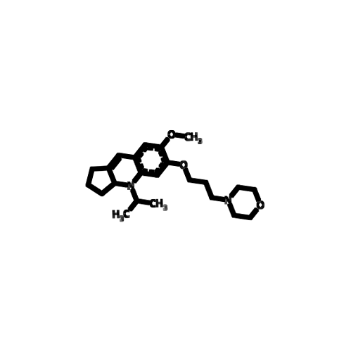 COc1cc2c(cc1OCCCN1CCOCC1)N(C(C)C)C1CCCC1=C2